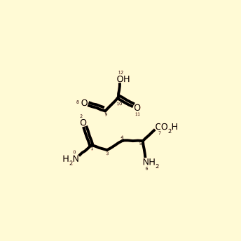 NC(=O)CCC(N)C(=O)O.O=CC(=O)O